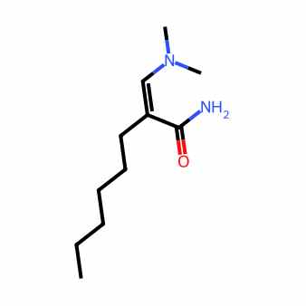 CCCCCCC(=CN(C)C)C(N)=O